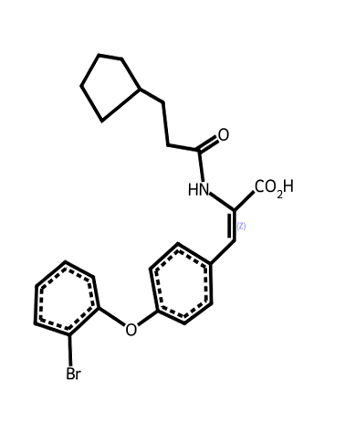 O=C(CCC1CCCC1)N/C(=C\c1ccc(Oc2ccccc2Br)cc1)C(=O)O